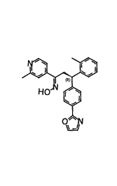 Cc1cc(C(C[C@H](c2ccc(-c3ncco3)cc2)c2ccccc2C)=NO)ccn1